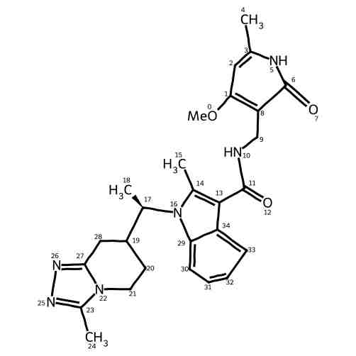 COc1cc(C)[nH]c(=O)c1CNC(=O)c1c(C)n([C@H](C)C2CCn3c(C)nnc3C2)c2ccccc12